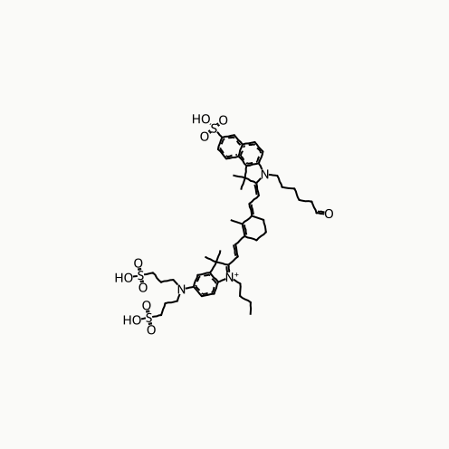 CCCC[N+]1=C(/C=C/C2=C(C)C(=C/C=C3/N(CCCCCC=O)c4ccc5cc(S(=O)(=O)O)ccc5c4C3(C)C)/CCC2)C(C)(C)c2cc(N(CCCS(=O)(=O)O)CCCS(=O)(=O)O)ccc21